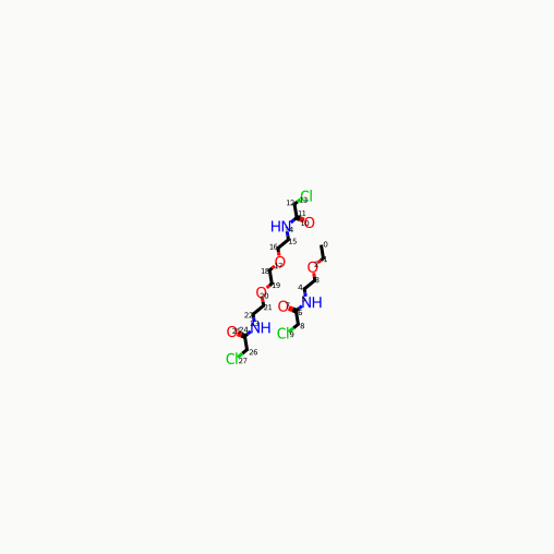 CCOCCNC(=O)CCl.O=C(CCl)NCCOCCOCCNC(=O)CCl